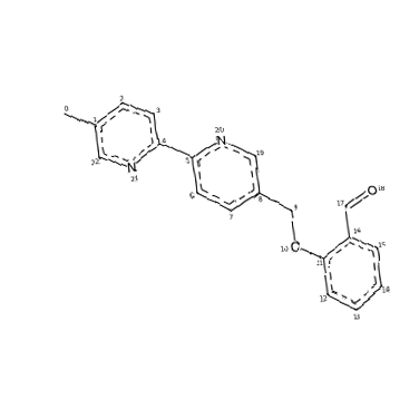 Cc1ccc(-c2ccc(COc3ccccc3C=O)cn2)nc1